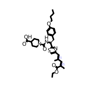 CCCCOc1ccc(C[C@H](NC(=O)N2CCC(C(=O)O)CC2)c2nc(/C=C(C)/C=C(/C)C(=O)OCC)cs2)cc1